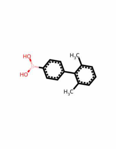 Cc1cccc(C)c1-c1ccc(B(O)O)cc1